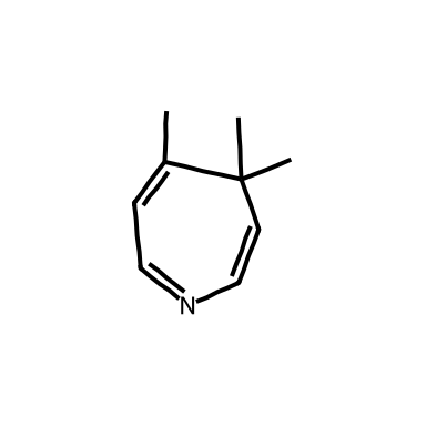 CC1=CC=NC=CC1(C)C